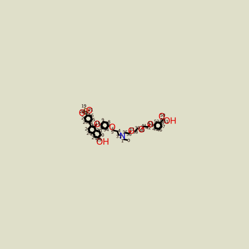 CCN(CCCOc1ccc(Oc2c(-c3ccc(S(C)(=O)=O)cc3)ccc3cc(O)ccc23)cc1)CCOCCOCCOc1cccc(C(=O)O)c1